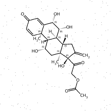 C=C1C[C@H]2[C@@H]3[C@@H](O)[C@@H](O)C4=CC(=O)C=C[C@]4(C)[C@H]3[C@@H](O)C[C@]2(C)[C@@]1(O)C(=O)COC(C)=O